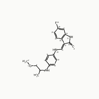 COCC(C)Nc1ccc(N/C=C2/C(=O)Nc3cc(F)ccc32)cc1